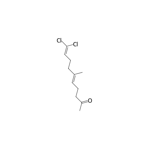 CC(=O)CC/C=C(\C)CCC=C(Cl)Cl